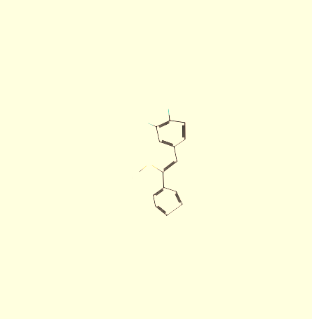 CSC(=Cc1ccc(F)c(F)c1)c1ccccc1